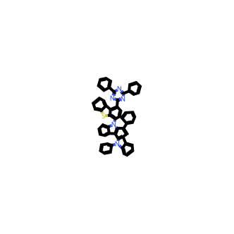 c1ccc(-c2nc(-c3ccccc3)nc(-c3ccc(-n4c5ccccc5c5c4c(-c4ccccc4)cc4c6ccccc6n(-c6ccccc6)c45)c4sc5ccccc5c34)n2)cc1